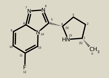 C[C@H]1CC[C@@H](c2nnc3ccc(F)cn23)N1